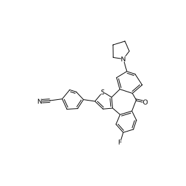 N#Cc1ccc(-c2cc3c4cc(F)ccc4c(=O)c4ccc(N5CCCC5)cc4c3s2)cc1